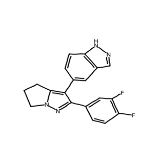 Fc1ccc(-c2nn3c(c2-c2ccc4[nH]ncc4c2)CCC3)cc1F